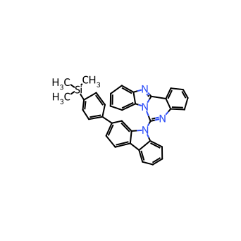 C[Si](C)(C)c1ccc(-c2ccc3c4ccccc4n(-c4nc5ccccc5c5nc6ccccc6n45)c3c2)cc1